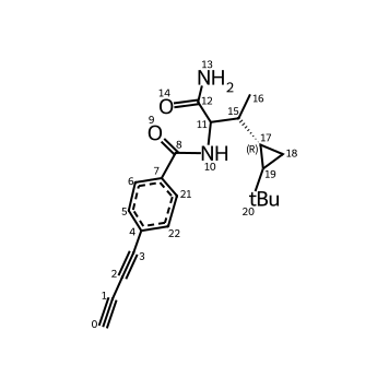 C#CC#Cc1ccc(C(=O)NC(C(N)=O)C(C)[C@@H]2CC2C(C)(C)C)cc1